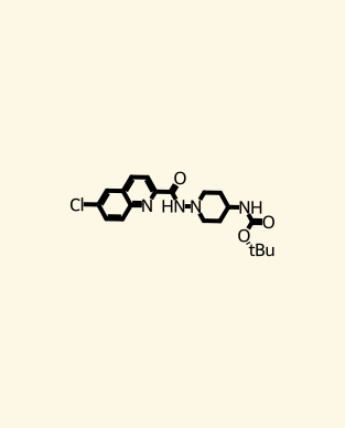 CC(C)(C)OC(=O)NC1CCN(NC(=O)c2ccc3cc(Cl)ccc3n2)CC1